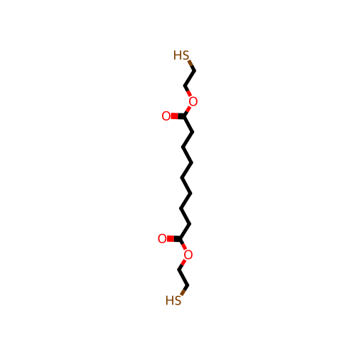 O=C(CCCCCCCC(=O)OCCS)OCCS